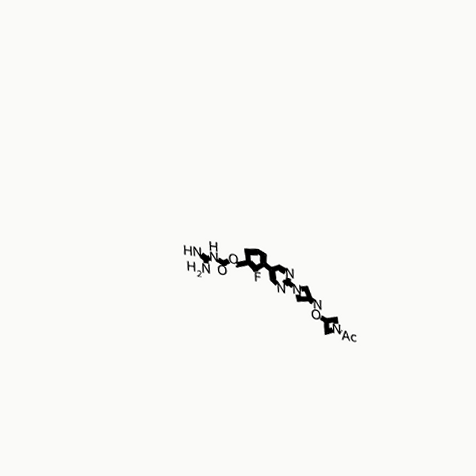 CC(=O)N1CC(ON=C2CN(c3ncc(-c4cccc(COC(=O)NC(=N)N)c4F)cn3)C2)C1